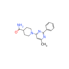 Cc1cc(N2CCC(C(N)=O)CC2)nc(-c2ccccc2)n1